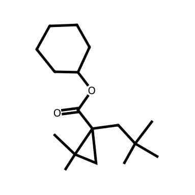 CC(C)(C)CC1(C(=O)OC2CCCCC2)CC1(C)C